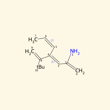 C=C(N)/C=C(\C=C/C)C(=C)C(C)(C)C